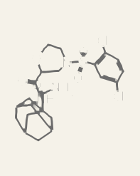 NC(=O)C12CC3CC(C1)C(NC(=O)C1CN(S(=O)(=O)c4cc(Cl)ccc4Cl)CCO1)C(C3)C2